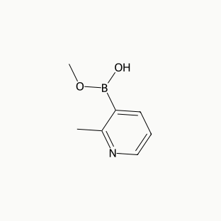 COB(O)c1cccnc1C